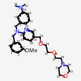 COc1cccc(CN(Cc2cccc(N(C)C)c2)c2ccc(COCCOCCN3CCOCC3)cn2)c1